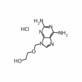 Cl.Nc1nc(N)c2ncn(COCCO)c2n1